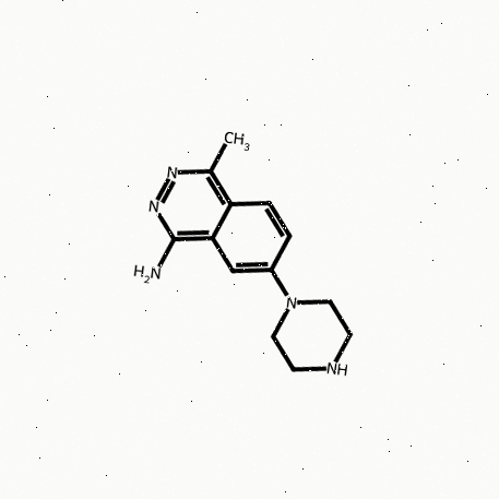 Cc1nnc(N)c2cc(N3CCNCC3)ccc12